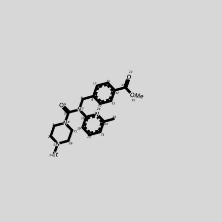 CCN1CCN(C(=O)N(Cc2ccc(C(=O)OC)cc2)c2cccc(C)n2)CC1